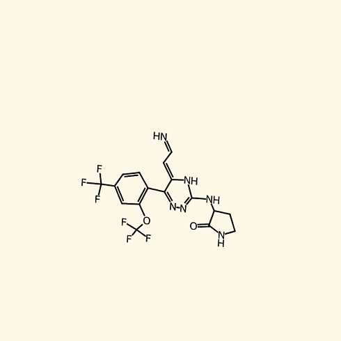 N=C/C=C1\NC(NC2CCNC2=O)=NN=C1c1ccc(C(F)(F)F)cc1OC(F)(F)F